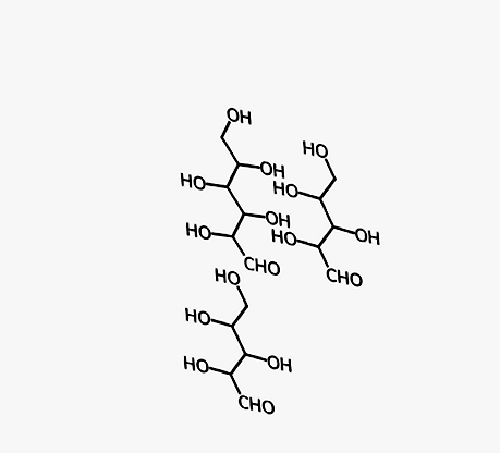 O=CC(O)C(O)C(O)C(O)CO.O=CC(O)C(O)C(O)CO.O=CC(O)C(O)C(O)CO